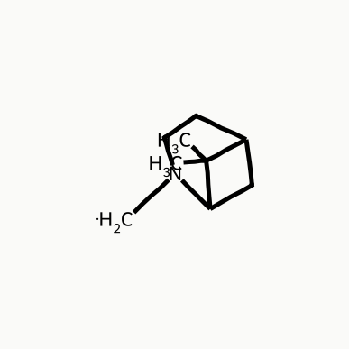 [CH2]N1CCC2CC1C2(C)C